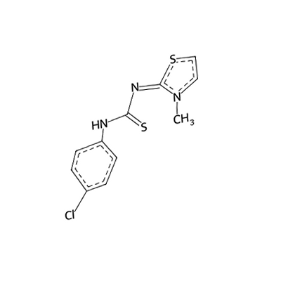 Cn1ccsc1=NC(=S)Nc1ccc(Cl)cc1